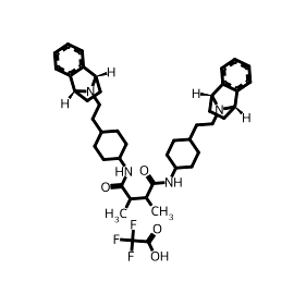 CC(C(=O)NC1CCC(CCN2[C@@H]3CC[C@H]2c2ccccc23)CC1)C(C)C(=O)NC1CCC(CCN2[C@@H]3CC[C@H]2c2ccccc23)CC1.O=C(O)C(F)(F)F